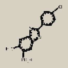 Cc1cc2sc(-c3ccc(Cl)cc3)nc2cc1C(=O)O